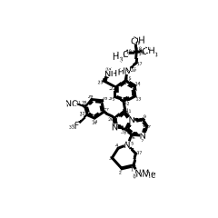 CNC1CCCN(c2nccn3c(-c4ccc(NCC(C)(C)O)c(C=N)c4)c(-c4ccc(C#N)c(F)c4)nc23)C1